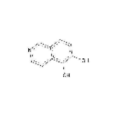 Oc1ccc2cnccc2c1O